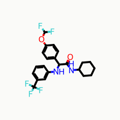 O=C(NC1CCCCC1)C(Nc1cccc(C(F)(F)F)c1)c1ccc(OC(F)F)cc1